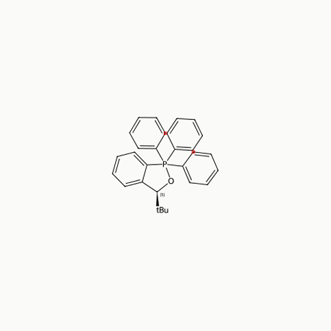 CC(C)(C)[C@@H]1OP(c2ccccc2)(c2ccccc2)(c2ccccc2)c2ccccc21